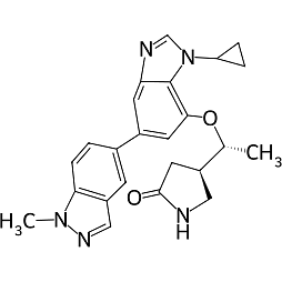 C[C@@H](Oc1cc(-c2ccc3c(cnn3C)c2)cc2ncn(C3CC3)c12)[C@H]1CNC(=O)C1